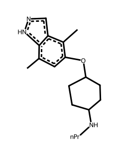 CCCNC1CCC(Oc2cc(C)c3[nH]ncc3c2C)CC1